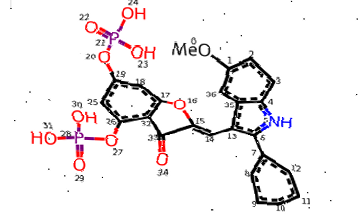 COc1ccc2[nH]c(-c3ccccc3)c(C=C3Oc4cc(OP(=O)(O)O)cc(OP(=O)(O)O)c4C3=O)c2c1